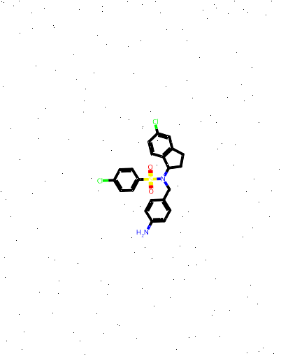 Nc1ccc(CN(C2CCc3cc(Cl)ccc32)S(=O)(=O)c2ccc(Cl)cc2)cc1